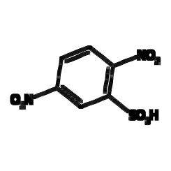 O=[N+]([O-])c1ccc([N+](=O)[O-])c(S(=O)(=O)O)c1